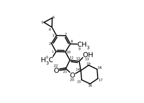 Cc1cc(C2CC2)cc(C)c1C1=C(O)C2(CCCCC2)OC1=O